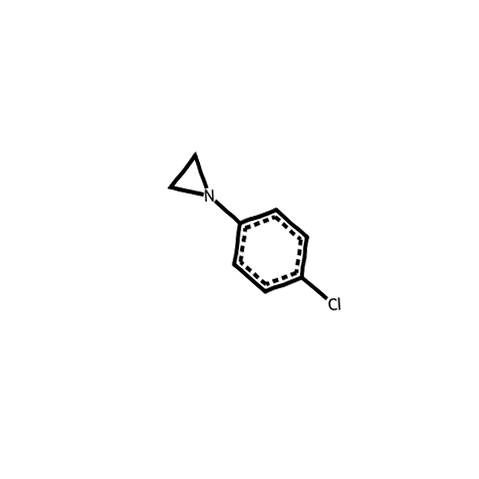 Clc1ccc(N2CC2)cc1